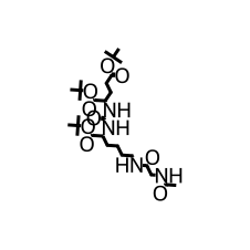 CC(=O)NCC(=O)NCCCCC(NC(=O)NC(CCC(=O)OC(C)(C)C)C(=O)OC(C)(C)C)C(=O)OC(C)(C)C